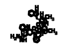 CC(=O)N[C@@H](CC1=CNC2C=CC=CC12)C(=O)N[C@@H](CC(C)C)C(=O)N[C@@H](Cc1ccccc1)C(=O)N[C@@H](CCCNC(=N)N)C(=O)c1nc2ccccc2s1